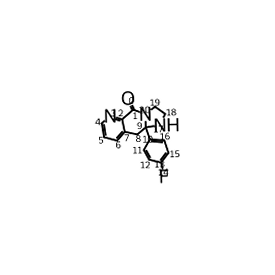 O=C1c2ncccc2CC2(c3ccc(F)cc3)NCCN12